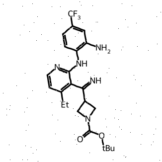 CCc1ccnc(Nc2ccc(C(F)(F)F)cc2N)c1C(=N)C1CN(C(=O)OC(C)(C)C)C1